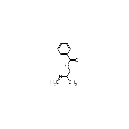 C=NC(C)COC(=O)c1ccccc1